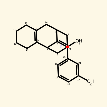 O/C(=C1\C2CCCC1C1=C(CCCC1)C2)c1cccc(O)c1